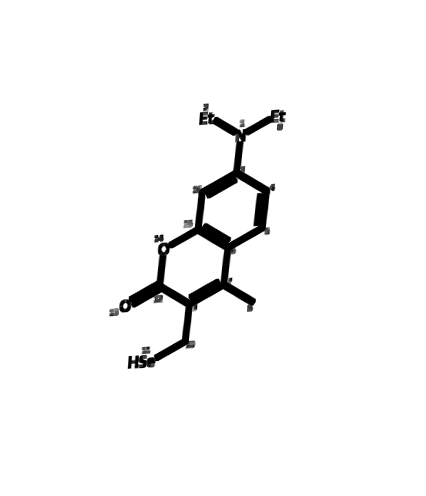 CCN(CC)c1ccc2c(C)c(C[SeH])c(=O)oc2c1